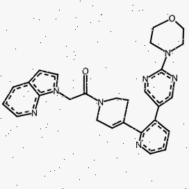 O=C(Cn1ccc2cccnc21)N1CC=C(c2ncccc2-c2cnc(N3CCOCC3)nc2)CC1